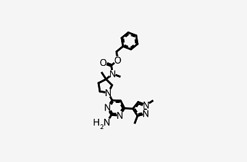 Cc1nn(C)cc1-c1cc(N2CCC(C)(N(C)C(=O)OCc3ccccc3)C2)nc(N)n1